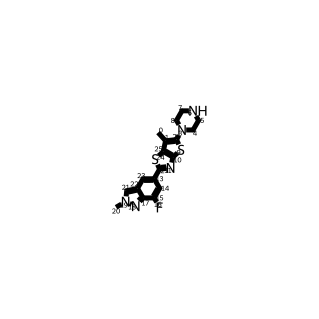 Cc1c(N2CCNCC2)sc2nc(-c3cc(F)c4nn(C)cc4c3)sc12